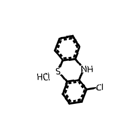 Cl.Clc1cccc2c1Nc1ccccc1S2